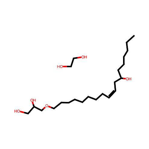 CCCCCCC(O)C/C=C\CCCCCCCCOCC(O)CO.OCCO